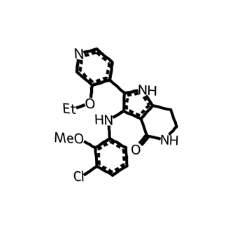 [CH2]COc1cnccc1-c1[nH]c2c(c1Nc1cccc(Cl)c1OC)C(=O)NCC2